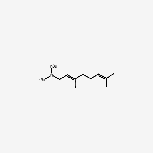 CCCCN(C/C=C(\C)CCC=C(C)C)CCCC